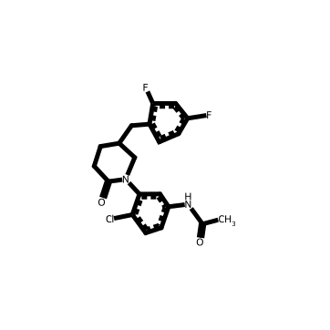 CC(=O)Nc1ccc(Cl)c(N2CC(Cc3ccc(F)cc3F)CCC2=O)c1